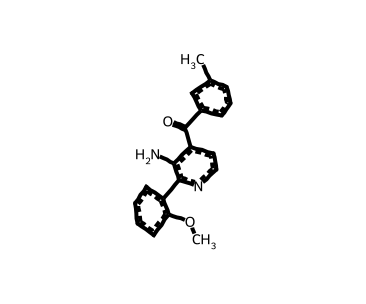 COc1ccccc1-c1nccc(C(=O)c2cccc(C)c2)c1N